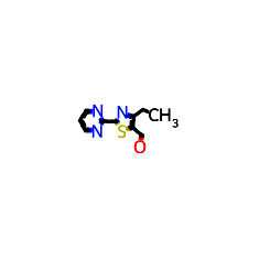 CCc1nc(-c2ncccn2)sc1C=O